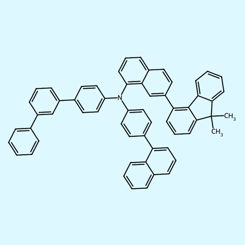 CC1(C)c2ccccc2-c2c(-c3ccc4cccc(N(c5ccc(-c6cccc(-c7ccccc7)c6)cc5)c5ccc(-c6cccc7ccccc67)cc5)c4c3)cccc21